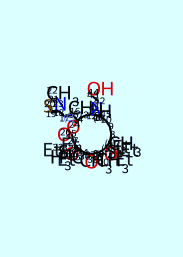 CC[Si](CC)(CC)O[C@H]1[C@@H](C)CCC[C@@H]2C(CC(/C(C)=C/c3csc(C)n3)OC(=O)C[C@H](O[Si](CC)(CC)CC)C(C)(C)C(=O)[C@@H]1C)[N@]2CCO